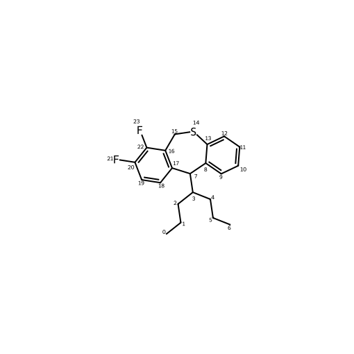 CCCC(CCC)C1c2ccccc2SCc2c1ccc(F)c2F